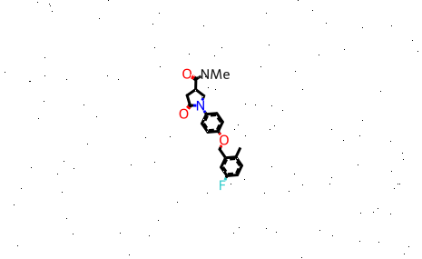 CNC(=O)C1CC(=O)N(c2ccc(OCc3cc(F)ccc3C)cc2)C1